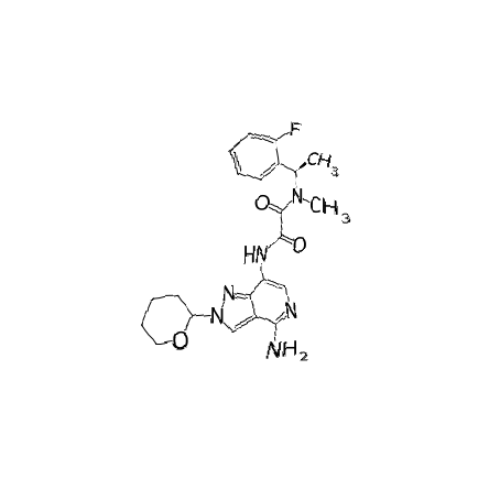 C[C@H](c1ccccc1F)N(C)C(=O)C(=O)Nc1cnc(N)c2cn(C3CCCCO3)nc12